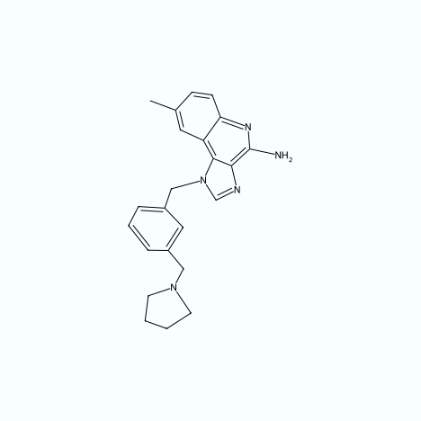 Cc1ccc2nc(N)c3ncn(Cc4cccc(CN5CCCC5)c4)c3c2c1